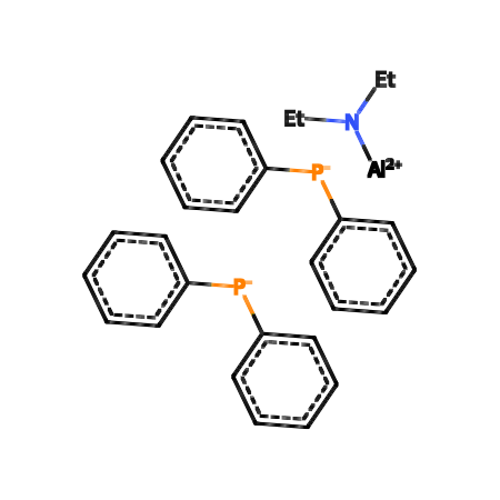 CC[N]([Al+2])CC.c1ccc([P-]c2ccccc2)cc1.c1ccc([P-]c2ccccc2)cc1